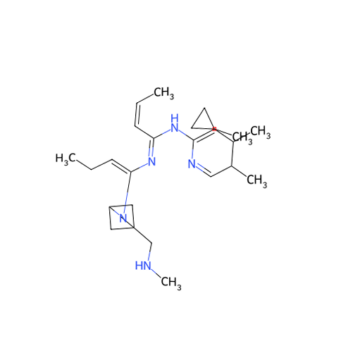 C\C=C/C(=N\C(=C\CC)N1CC2(CNC)CC1C2)NC(=C/C)/N=C\C(C)C(C)C1CC1